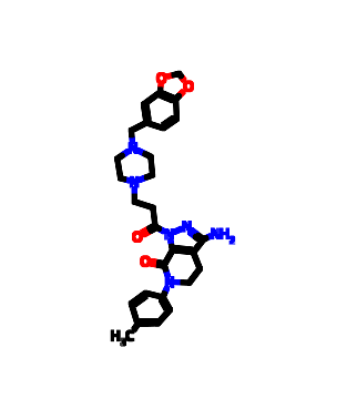 Cc1ccc(N2CCc3c(N)nn(C(=O)CCN4CCN(Cc5ccc6c(c5)OCO6)CC4)c3C2=O)cc1